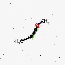 C/C=C/CCC1OCC(c2ccc(-c3ccc(-c4ccc(CCCCCCCCC)c(F)c4F)cc3)cc2F)CO1